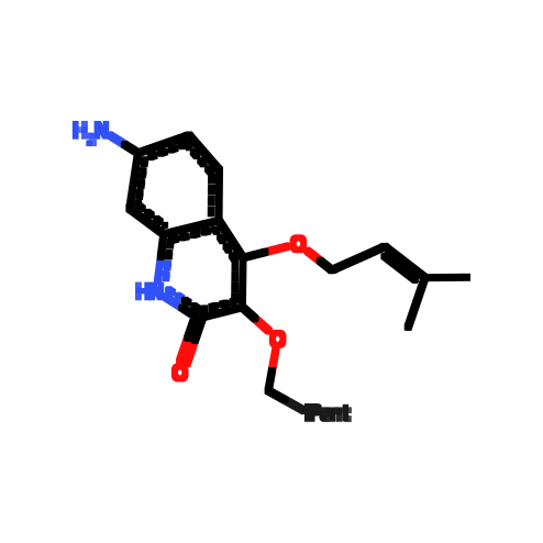 CCCC(C)COc1c(OCC=C(C)C)c2ccc(N)cc2[nH]c1=O